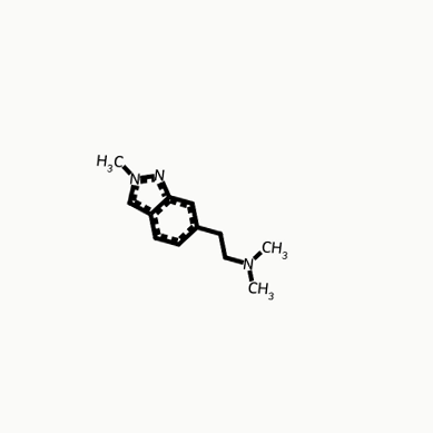 CN(C)CCc1ccc2cn(C)nc2c1